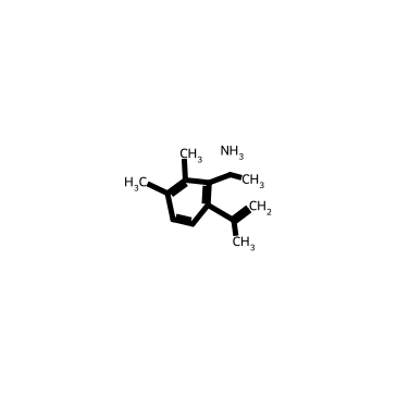 C=C(C)c1ccc(C)c(C)c1CC.N